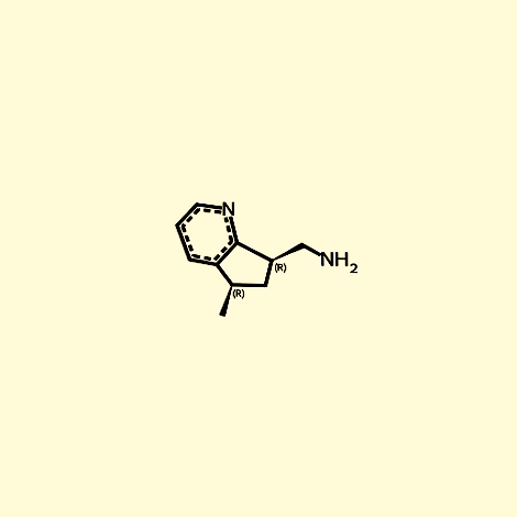 C[C@@H]1C[C@H](CN)c2ncccc21